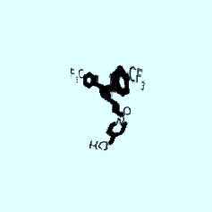 O=C(C=CC=C(c1ccc(C(F)(F)F)cc1)c1ccc(C(F)(F)F)cc1)N1CCC(CO)CC1